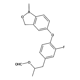 CB1OCc2cc(Oc3ccc(CC(C)OC=O)cc3F)ccc21